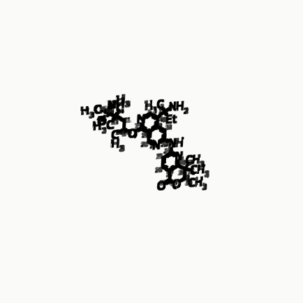 CCC(C)(N)c1cnc(O[C@@H](C)CC(C)(C)[S@](C)(=N)=O)c2cnc(Nc3ccc4c(n3)C(C)(C)[C@H](C)OC4=O)cc12